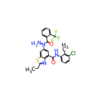 CCc1nc2c(C(=O)Nc3cccc(Cl)c3C)cc(N(N)C(=O)c3ccccc3C(F)(F)F)cc2s1